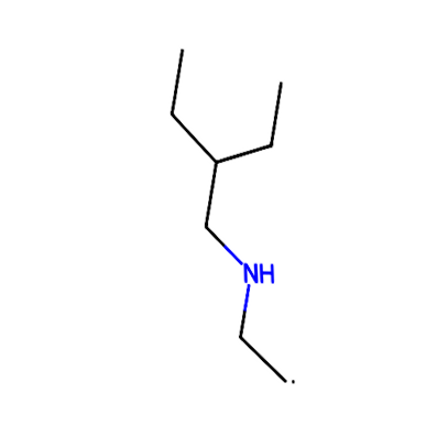 [CH2]CNCC(CC)CC